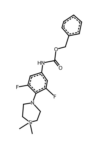 C[Si]1(C)CCN(c2c(F)cc(NC(=O)OCc3ccccc3)cc2F)CC1